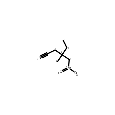 CCC(C)(CC#N)C[N+](=O)[O-]